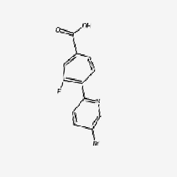 O=C(O)c1ccc(-c2ccc(Br)cn2)c(F)c1